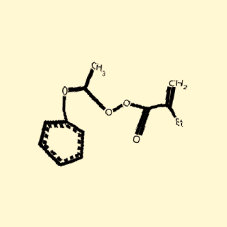 C=C(CC)C(=O)OOC(C)Oc1ccccc1